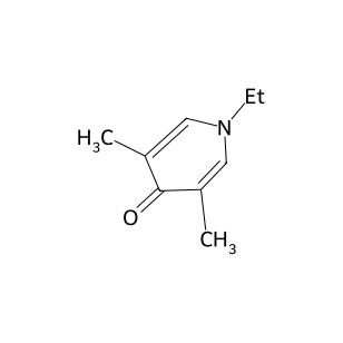 CCn1cc(C)c(=O)c(C)c1